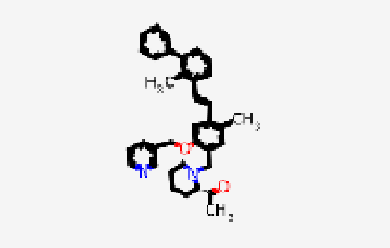 CC(=O)[C@@H]1CCCCN1Cc1cc(C)c(/C=C/c2cccc(-c3ccccc3)c2C)cc1OCc1cccnc1